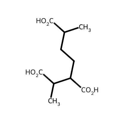 CC(CCC(C(=O)O)C(C)C(=O)O)C(=O)O